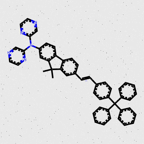 CC1(C)c2cc(/C=C/c3ccc(C(c4ccccc4)(c4ccccc4)c4ccccc4)cc3)ccc2-c2ccc(N(c3cnccn3)c3cnccn3)cc21